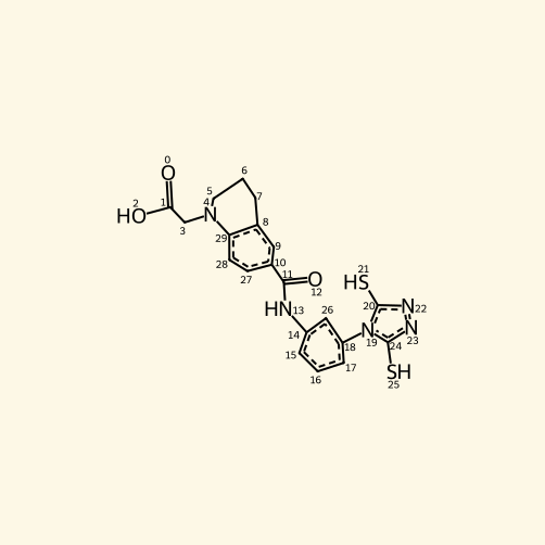 O=C(O)CN1CCCc2cc(C(=O)Nc3cccc(-n4c(S)nnc4S)c3)ccc21